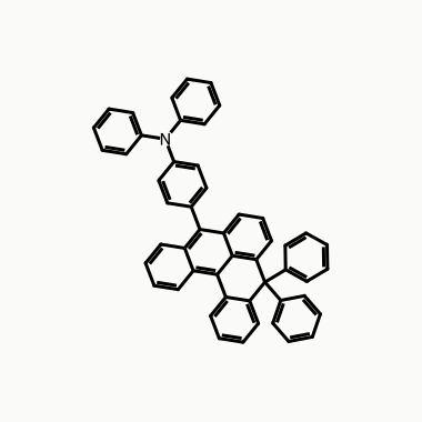 c1ccc(N(c2ccccc2)c2ccc(-c3c4ccccc4c4c5c(cccc35)C(c3ccccc3)(c3ccccc3)c3ccccc3-4)cc2)cc1